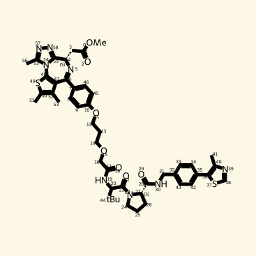 COC(=O)C[C@@H]1N=C(c2ccc(OCCCOCC(=O)NC(C(=O)N3CCC[C@H]3C(=O)NCc3ccc(-c4scnc4C)cc3)C(C)(C)C)cc2)c2c(sc(C)c2C)-n2c(C)nnc21